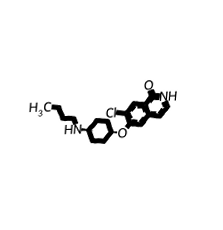 CCCCN[C@H]1CC[C@H](Oc2cc3cc[nH]c(=O)c3cc2Cl)CC1